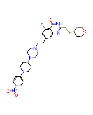 O=c1[nH]c(CSC2CCOCC2)nc2cc(CCN3CCN(C4CCN(c5ccc([N+](=O)[O-])cc5)CC4)CC3)cc(F)c12